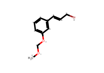 COCOc1cccc(C=CCBr)c1